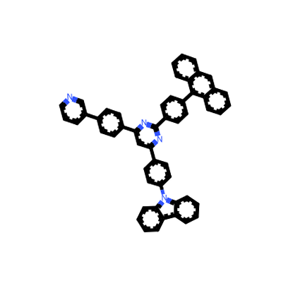 c1cncc(-c2ccc(-c3cc(-c4ccc(-n5c6ccccc6c6ccccc65)cc4)nc(-c4ccc(-c5c6ccccc6cc6ccccc56)cc4)n3)cc2)c1